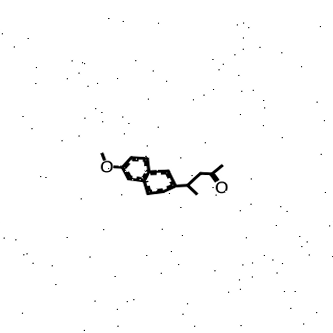 COc1ccc2cc(C(C)CC(C)=O)ccc2c1